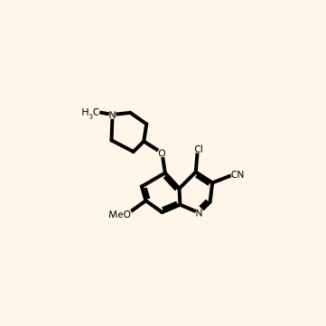 COc1cc(OC2CCN(C)CC2)c2c(Cl)c(C#N)cnc2c1